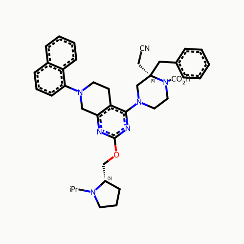 CC(C)N1CCC[C@H]1COc1nc2c(c(N3CCN(C(=O)O)[C@](CC#N)(Cc4ccccc4)C3)n1)CCN(c1cccc3ccccc13)C2